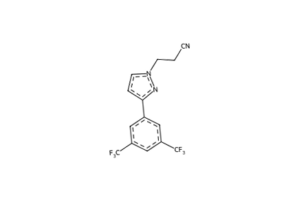 N#CCCn1ccc(-c2cc(C(F)(F)F)cc(C(F)(F)F)c2)n1